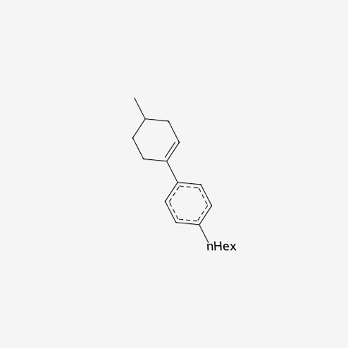 CCCCCCc1ccc(C2=CCC(C)CC2)cc1